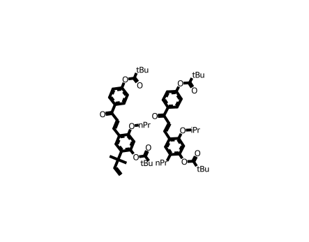 C=CC(C)(C)c1cc(/C=C/C(=O)c2ccc(OC(=O)C(C)(C)C)cc2)c(OCCC)cc1OC(=O)C(C)(C)C.CCCc1cc(/C=C/C(=O)c2ccc(OC(=O)C(C)(C)C)cc2)c(OC(C)C)cc1OC(=O)C(C)(C)C